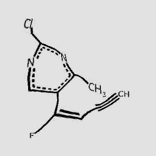 C#C/C=C(/F)c1cnc(Cl)nc1C